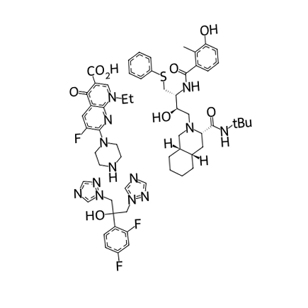 CCn1cc(C(=O)O)c(=O)c2cc(F)c(N3CCNCC3)nc21.Cc1c(O)cccc1C(=O)N[C@@H](CSc1ccccc1)[C@H](O)CN1C[C@H]2CCCC[C@H]2C[C@H]1C(=O)NC(C)(C)C.OC(Cn1cncn1)(Cn1cncn1)c1ccc(F)cc1F